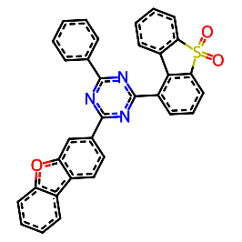 O=S1(=O)c2ccccc2-c2c(-c3nc(-c4ccccc4)nc(-c4ccc5c(c4)oc4ccccc45)n3)cccc21